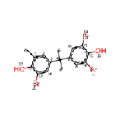 Cc1cc(C(C)(C)c2cc(Br)c(O)c(Br)c2)cc(Br)c1O